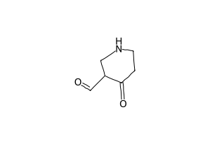 O=CC1CNCCC1=O